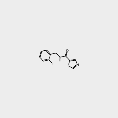 O=C(NCc1ccccc1F)c1cncs1